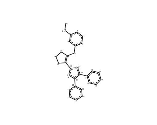 COc1cccc(CC2=C(c3nc(-c4ccccc4)c(-c4ccccc4)o3)CCC2)c1